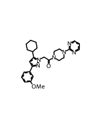 COc1cccc(-c2cc(C3CCCCC3)n(CC(=O)N3CCN(c4ncccn4)CC3)n2)c1